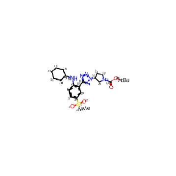 CNS(=O)(=O)c1ccc(NC2CCCCC2)c(-c2nnn(C3CCN(C(=O)OC(C)(C)C)C3)n2)c1